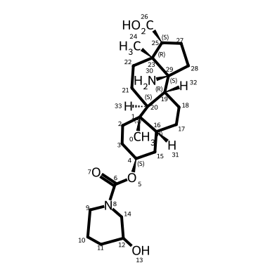 C[C@]12CC[C@H](OC(=O)N3CCCC(O)C3)C[C@H]1CC[C@@H]1[C@@H]2CC[C@]2(C)[C@@H](C(=O)O)CC[C@]12N